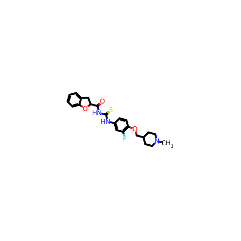 CN1CCC(COc2ccc(NC(=S)NC(=O)C3Cc4ccccc4O3)cc2F)CC1